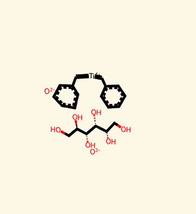 OC[C@@H](O)[C@@H](O)[C@H](O)[C@@H](O)CO.[CH](=[Ti+4]=[CH]c1ccccc1)c1ccccc1.[O-2].[O-2]